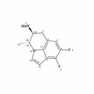 CN[C@H]1Cc2cc(F)c(F)c3ccn(c23)[C@@H]1C